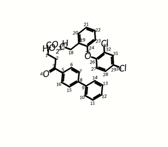 O=C(O)CCC(=O)c1ccc(-c2ccccc2)cc1.O=C(O)Cc1ccccc1Oc1ccc(Cl)cc1Cl